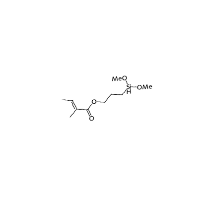 CC=C(C)C(=O)OCCC[SiH](OC)OC